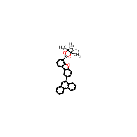 CC1(C)OB(c2cccc3c2oc2ccc(-c4cc5ccccc5c5ccccc45)cc23)OC1(C)C